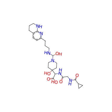 O=C(CNC(=O)C1CC1)NC(C(=O)O)C1(O)CCN(C(O)NCCCc2ccc3c(n2)NCCC3)CC1